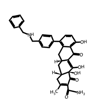 CC1=C(C(N)=O)C(=O)[C@@]2(O)C(O)=C3C(=O)c4c(O)ccc(-c5ccc(CNCc6ccccc6)cc5)c4C[C@H]3C[C@H]2C1